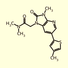 Cc1csc(-c2cnc3c(c2)n(CC(=O)N(C)C)c(=O)n3C)c1